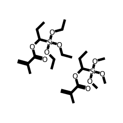 C=C(C)C(=O)OC(CC)[Si](OC)(OC)OC.C=C(C)C(=O)OC(CC)[Si](OCC)(OCC)OCC